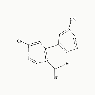 CCC(CC)c1ccc(Cl)cc1-c1cccc(C#N)c1